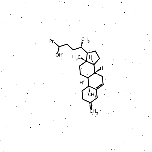 C=C1CC[C@@]2(C)C(=CC[C@H]3[C@@H]4CC[C@H]([C@H](C)CCC(O)C(C)C)[C@@]4(C)CC[C@@H]32)C1